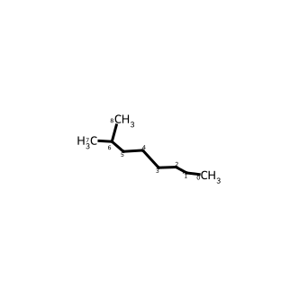 C[CH]CCCCC(C)C